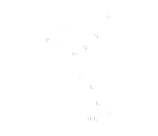 NC(=O)N1CCN(C(=O)CC2CCN(C3c4ncc(Br)cc4CCc4cc(Cl)cc(Br)c43)CC2)CC1